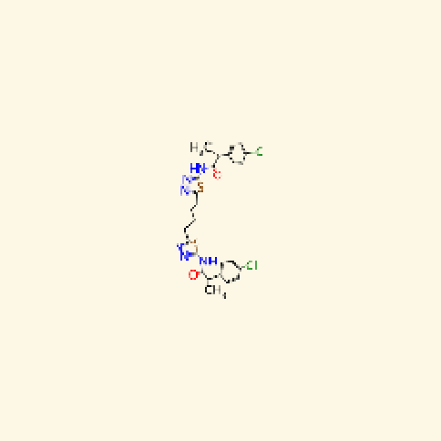 CC(C(=O)Nc1nnc(CCCCc2nnc(NC(=O)C(C)c3ccc(Cl)cc3)s2)s1)c1ccc(Cl)cc1